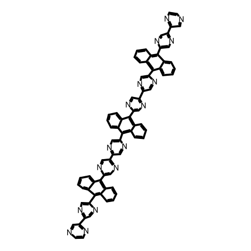 c1ccc2c(-c3cnc(-c4cnc(-c5c6ccccc6c(-c6cnc(-c7cnc(-c8c9ccccc9c(-c9cnc(-c%10cnccn%10)cn9)c9ccccc89)cn7)cn6)c6ccccc56)cn4)cn3)c3ccccc3c(-c3cnc(-c4cnccn4)cn3)c2c1